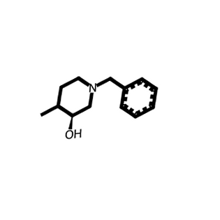 CC1CCN(Cc2ccccc2)C[C@H]1O